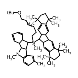 Cc1ccc2c(c1)C1C(C3C=CC=CC3C1[Si](C)(CCCCCCOC(C)(C)C)C1C3C=C4C(=CC3C3C=C5C(=CC31)C(C)(C)CCC5(C)C)C(C)(C)CCC4(C)C)N2C